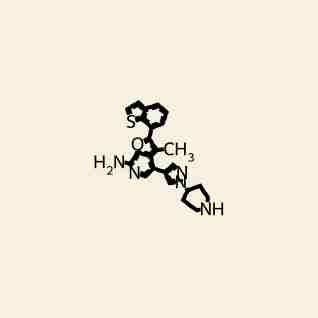 Cc1c(-c2cccc3ccsc23)oc2c(N)ncc(-c3cnn(C4CCNCC4)c3)c12